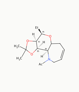 CC[C@H]1OC2CC=CCN(C(C)=O)[C@H]2[C@H]2OC(C)(C)O[C@H]21